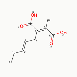 CCC=CCC(C(=O)O)=C(C)C(=O)O